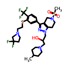 CC1CCN(CC(O)Cn2nc(-c3ccc(C(F)(F)F)c(SCCN4CCC(F)(F)C4)c3)c3c2CCN(S(C)(=O)=O)C3)CC1